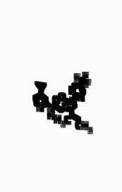 CC[C@H](C)[C@H]1CN(c2ncc(C(F)(F)F)cn2)C(=O)N1CC(=O)Nc1cc(C2CC2)ccn1